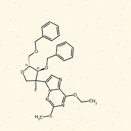 CCOc1nc(SC)nn2c(C3(F)CO[C@H](COCc4ccccc4)[C@H]3OCc3ccccc3)cnc12